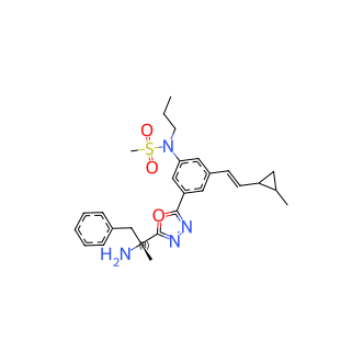 CCCN(c1cc(C=CC2CC2C)cc(-c2nnc([C@](C)(N)Cc3ccccc3)o2)c1)S(C)(=O)=O